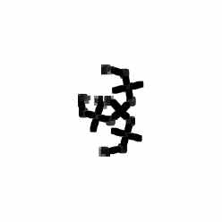 CC(C)O[Si](C)(C)OC([SiH3])(O[Si](C)(C)OC(C)C)O[Si](C)(C)OC(C)C